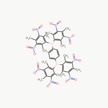 Cc1c(B(c2ccc(B(c3c(C)c([N+](=O)[O-])c(C)c([N+](=O)[O-])c3C)c3c(C)c([N+](=O)[O-])c(C)c([N+](=O)[O-])c3C)cc2)c2c(C)c([N+](=O)[O-])c(C)c([N+](=O)[O-])c2C)c(C)c([N+](=O)[O-])c(C)c1[N+](=O)[O-]